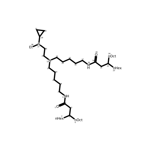 CCCCCCCCC(CCCCCC)CC(=O)NCCCCCN(CCCCCNC(=O)CC(CCCCCC)CCCCCCCC)CCN(CC)C1CC1